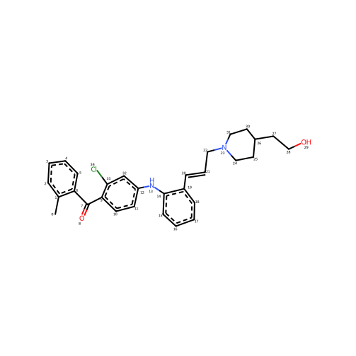 Cc1ccccc1C(=O)c1ccc(Nc2ccccc2C=CCN2CCC(CCO)CC2)cc1Cl